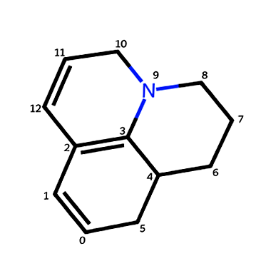 C1=CC2=C3C(C1)CCCN3CC=C2